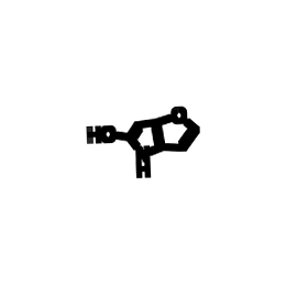 Oc1cc2occc2[nH]1